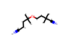 CC(C)(C#N)CCOC(C)(C)CCC#N